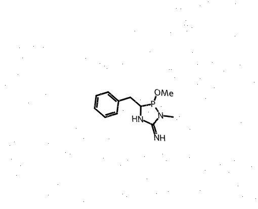 COP1C(Cc2ccccc2)NC(=N)N1C